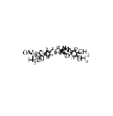 COC(=O)C(C)(C)Oc1ccc(CCCc2nn(Cc3ccc(C)c(C)c3)c(=O)[nH]2)cc1